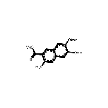 COC(=O)c1cc2cc(OC)c(OC)cc2cc1N